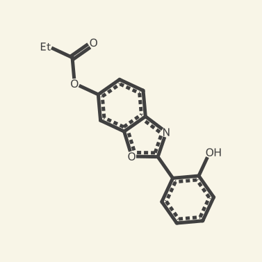 CCC(=O)Oc1ccc2nc(-c3ccccc3O)oc2c1